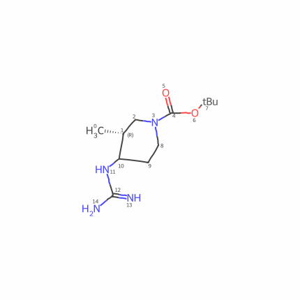 C[C@@H]1CN(C(=O)OC(C)(C)C)CCC1NC(=N)N